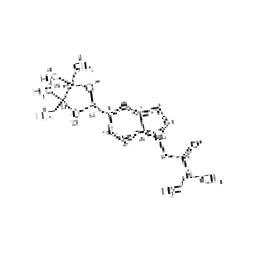 CN(C)C(=O)Cn1ccc2cc(B3OC(C)(C)C(C)(C)O3)ccc21